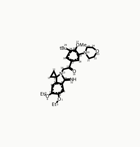 CCOc1cc2c(cc1OCC)C1(CC1)N(CC(=O)c1cc(N3CCOCC3)c(OC)c(C(C)(C)C)c1)C2=N